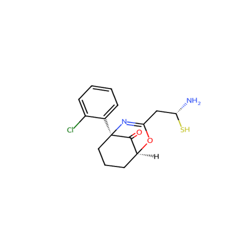 N[C@H](S)CC1=N[C@]2(c3ccccc3Cl)CCC[C@H](O1)C2=O